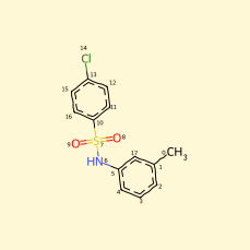 Cc1cccc(NS(=O)(=O)c2ccc(Cl)cc2)c1